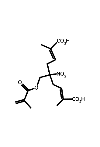 C=C(C)C(=O)OCC(CC=C(C)C(=O)O)(CC=C(C)C(=O)O)[N+](=O)[O-]